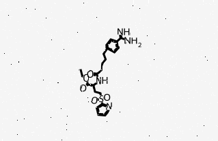 CCOC(=O)C(CCS(=O)(=O)c1ccccn1)NC(=O)CCCCc1ccc(C(=N)N)cc1